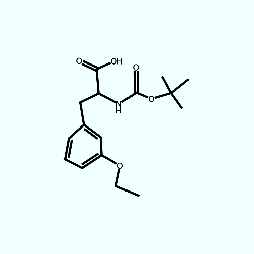 CCOc1cccc(CC(NC(=O)OC(C)(C)C)C(=O)O)c1